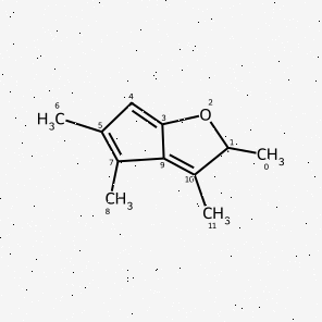 C[C]1OC2=CC(C)=C(C)C2=C1C